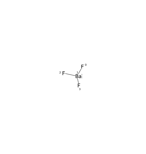 [F][Ba]([F])[F]